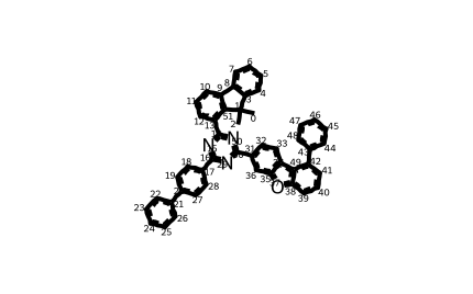 CC1(C)c2ccccc2-c2cccc(-c3nc(-c4ccc(-c5ccccc5)cc4)nc(-c4ccc5c(c4)oc4cccc(-c6ccccc6)c45)n3)c21